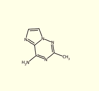 Cc1nc(N)c2nccn2n1